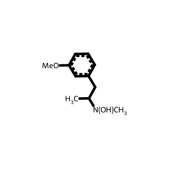 COc1cccc(CC(C)N(C)O)c1